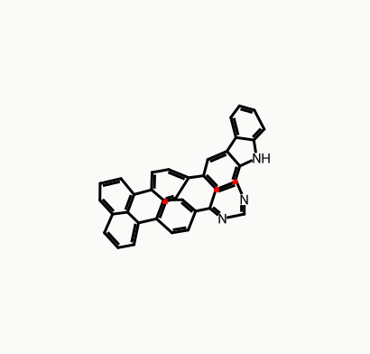 c1cc(-c2ccc(-c3ccc4[nH]c5ccccc5c4c3)cc2)c2c(-c3ccc(-c4ccncn4)cc3)cccc2c1